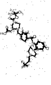 CC(C)(C)OC(=O)N1CCN(Cc2ccc(C(=O)Nc3ccc(Cl)cc3N3CCN(CCC(F)(F)F)CC3)c(F)c2F)[C@@H](CC(=O)O)C1